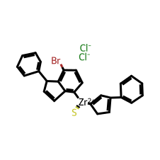 [Cl-].[Cl-].[S]=[Zr+2]([C]1=CC(c2ccccc2)=CC1)[c]1ccc(Br)c2c1C=CC2c1ccccc1